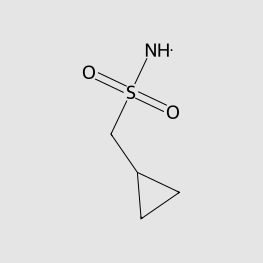 [NH]S(=O)(=O)CC1CC1